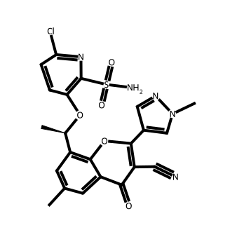 Cc1cc([C@@H](C)Oc2ccc(Cl)nc2S(N)(=O)=O)c2oc(-c3cnn(C)c3)c(C#N)c(=O)c2c1